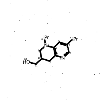 CC(C)c1cnc2c(c1)N(C(C)C)CC(CO)C2